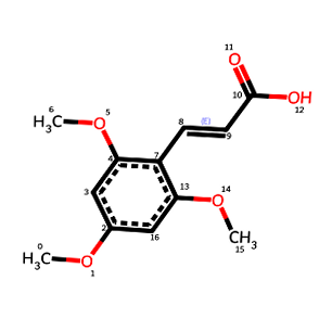 COc1cc(OC)c(/C=C/C(=O)O)c(OC)c1